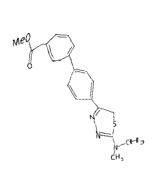 COC(=O)c1cccc(-c2ccc(C3=NN=C(N(C)C)SC3)cc2)c1